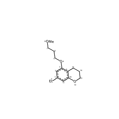 CCc1cc(OCCCOC)c2c(c1)OCCC2